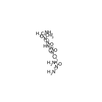 CC(C)(N)C(=O)N1CCN(C(=O)Nc2ccn(-c3ccc(C[C@H](N)C(=O)N4CC(N)C4)cc3)c(=O)n2)CC1